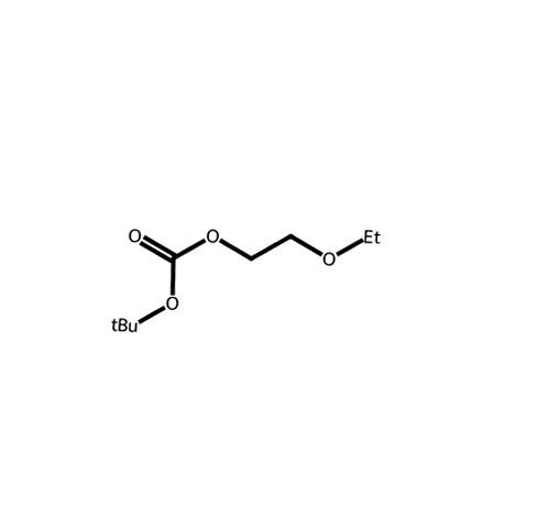 CCOCCOC(=O)OC(C)(C)C